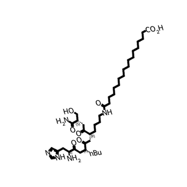 CCCC[C@H](CC(=O)[C@@H](N)Cc1cnc[nH]1)C(=O)C[C@@H](CCCCNC(=O)CCCCCCCCCCCCCCCCC(=O)O)C(=O)C[C@@H](CO)C(N)=O